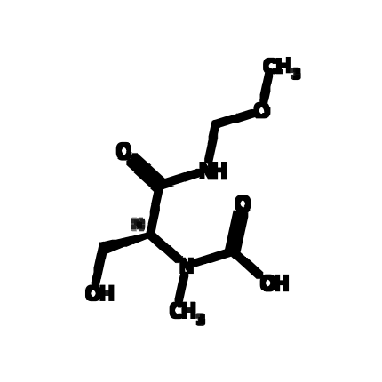 COCNC(=O)[C@H](CO)N(C)C(=O)O